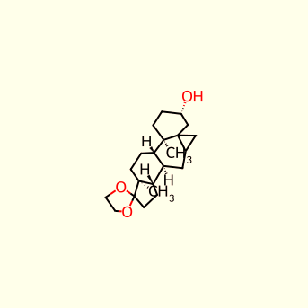 C[C@]12CC[C@H]3[C@@H](CC4CC45C[C@@H](O)CC[C@]35C)[C@@H]1CCC21OCCO1